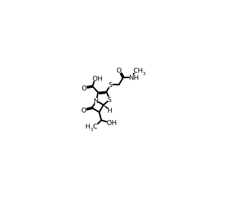 CNC(=O)CSC1=C(C(=O)O)N2C(=O)C(C(C)O)[C@H]2S1